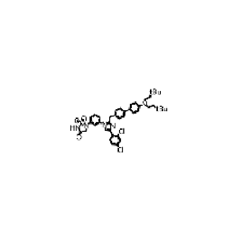 CC(C)(C)CCN(CCC(C)(C)C)c1ccc(-c2ccc(Cc3nc(-c4ccc(Cl)cc4Cl)cn3-c3cccc(N4CC(=O)NS4(=O)=O)c3)cc2)cc1